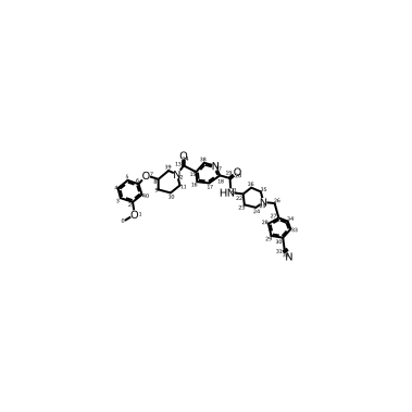 COc1cccc(OC2CCCN(C(=O)c3ccc(C(=O)NC4CCN(Cc5ccc(C#N)cc5)CC4)nc3)C2)c1